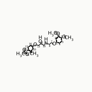 COc1ccc(OCCNCC(O)COc2ccc(S(C)(=O)=O)c(C)c2)cc1OC